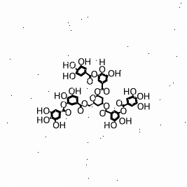 O=C(OC[C@@H]1C[C@H](OC(=O)c2cc(O)c(O)c(OC(=O)c3cc(O)c(O)c(O)c3)c2)C[C@H](OC(=O)c2cc(O)c(O)c(OC(=O)c3cc(O)c(O)c(O)c3)c2)O1)c1cc(O)c(O)c(OC(=O)c2cc(O)c(O)c(O)c2)c1